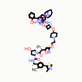 Cc1ncsc1-c1ccc([C@H](C)NC(=O)[C@@H]2C[C@@H](O)CN2C(=O)[C@@H](c2cc(OCCN3CCC(O[C@H]4C[C@H](Oc5cc(N6C7CCC6CN(c6cc(-c8ccccc8O)nnc6N)C7)ccn5)C4)CC3)no2)C(C)C)c(C#N)c1